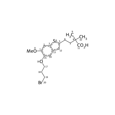 COc1cc2sc(CCC(C)(C)C(=O)O)cc2cc1OCCCBr